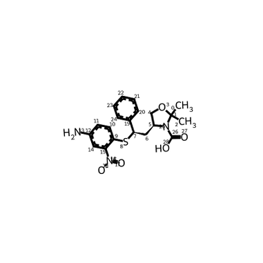 CC1(C)OC[C@H](C[C@@H](Sc2ccc(N)cc2[N+](=O)[O-])c2ccccc2)N1C(=O)O